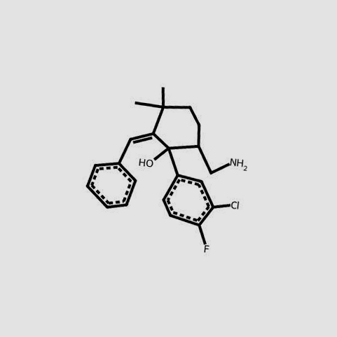 CC1(C)CCC(CN)C(O)(c2ccc(F)c(Cl)c2)C1=Cc1ccccc1